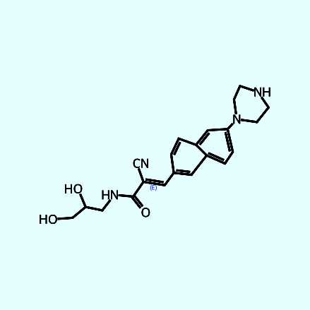 N#C/C(=C\c1ccc2cc(N3CCNCC3)ccc2c1)C(=O)NCC(O)CO